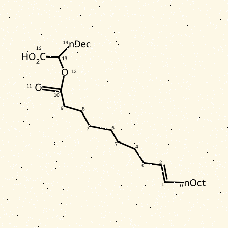 CCCCCCCCC=CCCCCCCCC(=O)OC(CCCCCCCCCC)C(=O)O